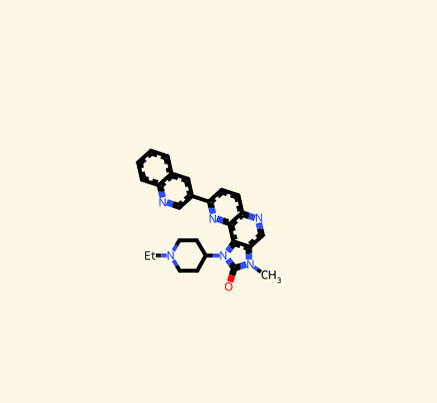 CCN1CCC(n2c(=O)n(C)c3cnc4ccc(-c5cnc6ccccc6c5)nc4c32)CC1